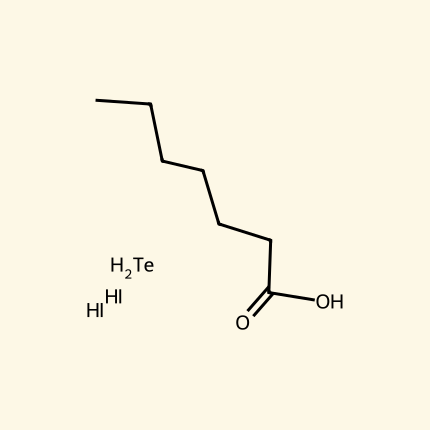 CCCCCCC(=O)O.I.I.[TeH2]